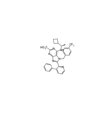 C[C@@H](Nc1nc(C(=O)O)nc2nc(-c3ncccc3-c3ccccc3)n(Cc3ccc(C(F)(F)F)cc3)c12)C1CCC1